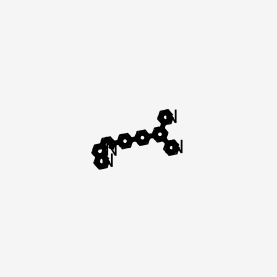 c1cncc(-c2cc(-c3ccc(-c4ccc(-c5ccc6ccc7cccnc7c6n5)cc4)cc3)cc(-c3cccnc3)c2)c1